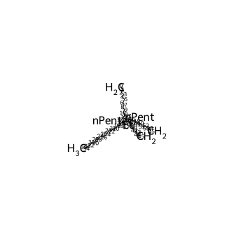 C=CCCCCCCCCCCCC(=C(CC)C(CCCCC)CCCCCCCCCCCCCCCC=CC)C(CCCCC)(CCCCCCC=C)CCCCCCCCC=C